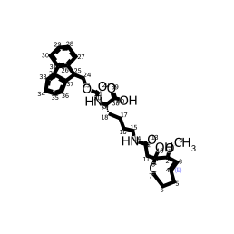 COC1/C=C/CCCCC1(O)CC(=O)NCCCC[C@H](NC(=O)OCC1c2ccccc2-c2ccccc21)C(=O)O